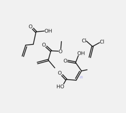 C/C(=C/C(=O)O)C(=O)O.C=C(C)C(=O)OC.C=C(Cl)Cl.C=CCC(=O)O